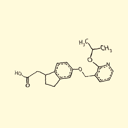 CC(C)Oc1ncccc1COc1ccc2c(c1)CCC2CC(=O)O